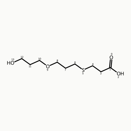 O=C(O)CCSCCCOCCCO